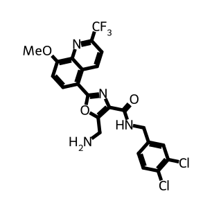 COc1ccc(-c2nc(C(=O)NCc3ccc(Cl)c(Cl)c3)c(CN)o2)c2ccc(C(F)(F)F)nc12